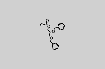 O=C(Cl)OCC(COCc1ccccc1)OCc1ccccc1